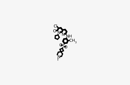 Cc1cc(S(=O)(=O)C2CC3(CCN(I)CC3)C2)ccc1Nc1ccc2cc(Cl)c(=O)n(C3CCCC3)c2n1